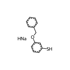 Sc1cccc(OCc2ccccc2)c1.[NaH]